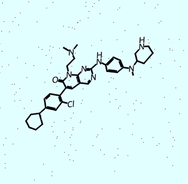 CN(C)CCn1c(=O)c(-c2ccc(C3CCCCC3)cc2Cl)cc2cnc(Nc3ccc(N(C)C4CCCNC4)cc3)nc21